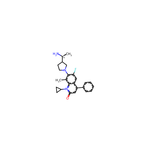 Cc1c(N2CCC([C@H](C)N)C2)c(F)cc2c(-c3ccccc3)cc(=O)n(C3CC3)c12